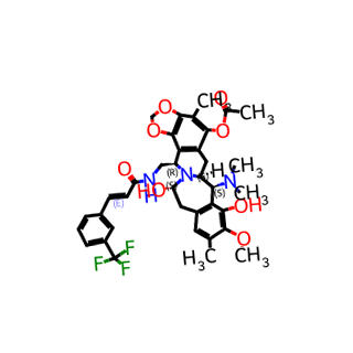 COc1c(C)cc2c(c1O)[C@H](N(C)C)[C@@H]1Cc3c(OC(C)=O)c(C)c4c(c3[C@H](CNC(=O)/C=C/c3cccc(C(F)(F)F)c3)N1[C@@H](O)C2)OCO4